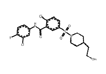 O=C(Nc1ccc(F)c(Cl)c1)c1cc(S(=O)(=O)N2CCC(CCO)CC2)ccc1Cl